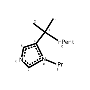 CCCCCC(C)(C)c1cncn1C(C)C